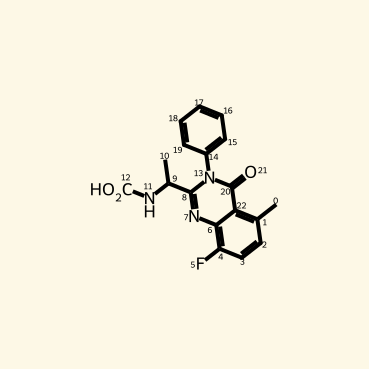 Cc1ccc(F)c2nc(C(C)NC(=O)O)n(-c3ccccc3)c(=O)c12